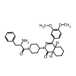 COc1ccc(C2=NN(C3CCN(C(=O)[C@H](N)Cc4ccccc4)CC3)C(=O)[C@H]3CCCC[C@@H]23)cc1OC